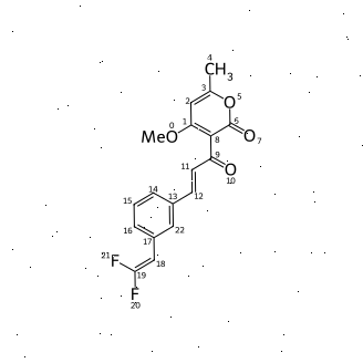 COc1cc(C)oc(=O)c1C(=O)C=Cc1cccc(C=C(F)F)c1